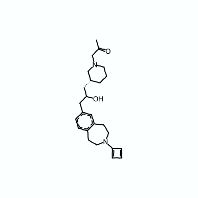 CC(=O)CN1CCC[C@H](CC(O)Cc2ccc3c(c2)CCN(C2=CC=C2)CC3)C1